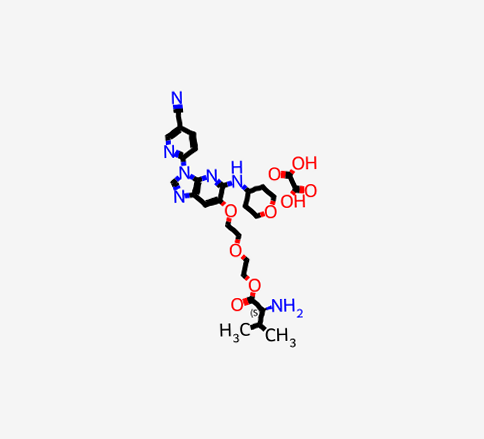 CC(C)[C@H](N)C(=O)OCCOCCOc1cc2ncn(-c3ccc(C#N)cn3)c2nc1NC1CCOCC1.O=C(O)C(=O)O